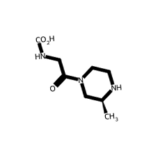 C[C@H]1CN(C(=O)CNC(=O)O)CCN1